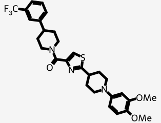 COc1ccc(N2CCC(c3nc(C(=O)N4CCC(c5cccc(C(F)(F)F)c5)CC4)cs3)CC2)cc1OC